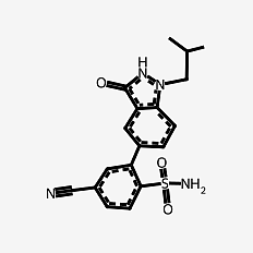 CC(C)Cn1[nH]c(=O)c2cc(-c3cc(C#N)ccc3S(N)(=O)=O)ccc21